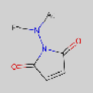 [CH2]C(=O)N(CC)N1C(=O)C=CC1=O